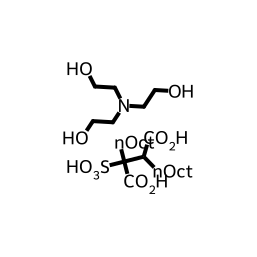 CCCCCCCCC(C(=O)O)C(CCCCCCCC)(C(=O)O)S(=O)(=O)O.OCCN(CCO)CCO